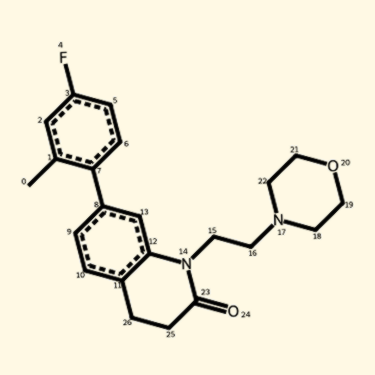 Cc1cc(F)ccc1-c1ccc2c(c1)N(CCN1CCOCC1)C(=O)CC2